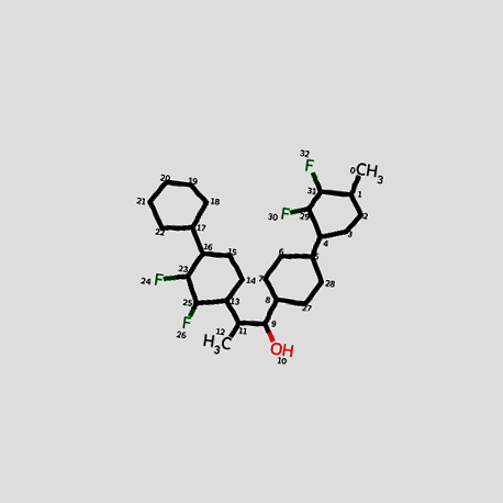 CC1CCC(C2CCC(C(O)C(C)C3CCC(C4CCCCC4)C(F)C3F)CC2)C(F)C1F